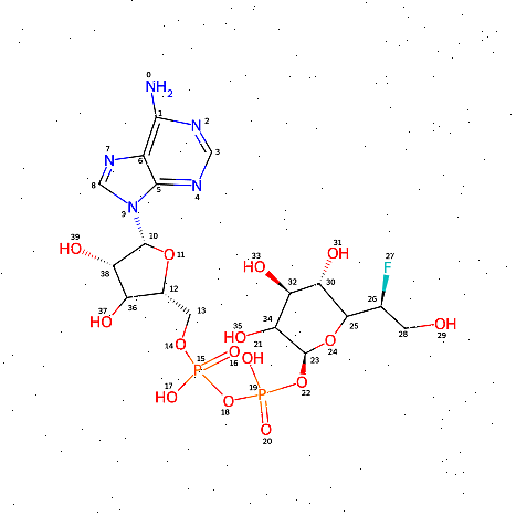 Nc1ncnc2c1ncn2[C@@H]1O[C@H](COP(=O)(O)OP(=O)(O)O[C@@H]2OC([C@@H](F)CO)[C@@H](O)[C@H](O)C2O)C(O)[C@@H]1O